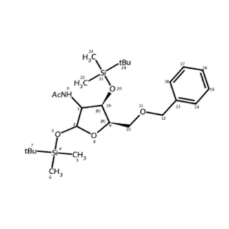 CC(=O)NC1C(O[Si](C)(C)C(C)(C)C)O[C@H](COCc2ccccc2)[C@@H]1O[Si](C)(C)C(C)(C)C